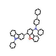 c1ccc(-c2ccc(N(c3ccccc3)c3ccc(-c4ccc5c(c4)c4ccccc4n5-c4ccccc4)c4oc5ccccc5c34)cc2)cc1